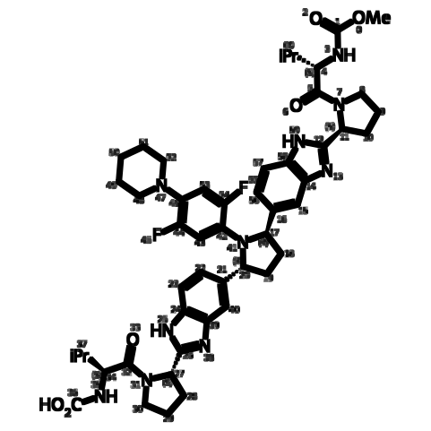 COC(=O)N[C@H](C(=O)N1CCC[C@H]1c1nc2cc([C@H]3CC[C@H](c4ccc5[nH]c([C@@H]6CCCN6C(=O)[C@@H](NC(=O)O)C(C)C)nc5c4)N3c3cc(F)c(N4CCCCC4)cc3F)ccc2[nH]1)C(C)C